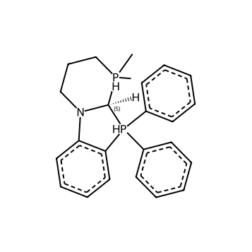 C[PH]1(C)CCCN2c3ccccc3[PH](c3ccccc3)(c3ccccc3)[C@@H]21